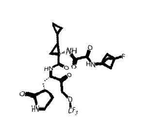 O=C(NC12CC(F)(C1)C2)C(=O)N[C@]1(C(=O)N[C@@H](C[C@@H]2CCNC2=O)C(=O)COC(F)(F)F)CC1C1CC1